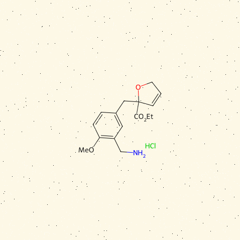 CCOC(=O)C1(Cc2ccc(OC)c(CN)c2)C=CCO1.Cl